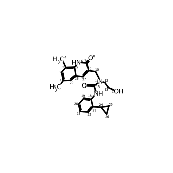 Cc1cc(C)c2[nH]c(=O)c(CN(CCO)C(=O)Nc3ccccc3C3CC3)cc2c1